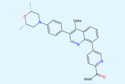 CNC(=O)c1ccc(-c2cccc3c(OC)c(-c4ccc(N5C[C@@H](C)O[C@@H](C)C5)cc4)cnc23)cn1